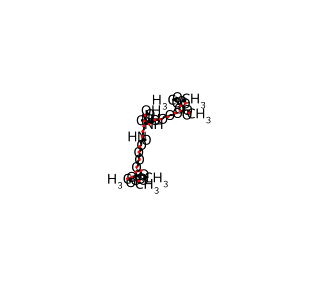 CC(=O)OC[C@H]1C[C@@H](OCCOCCOCCOCC(=O)NCCCC[C@H](NC(=O)COCCOCCOCCO[C@H]2C[C@@H](OC(C)=O)[C@@H](OC(C)=O)[C@@H](COC(C)=O)O2)C(=O)NCC(=O)O)C[C@@H](OC(C)=O)[C@H]1OC(C)=O